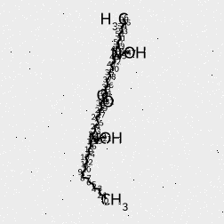 CCCCCCCC/C=C\CCCCCCCCN(CCO)CCCCCCCCCC(=O)OCCCCCCCCCCN(CCO)CCCCCCCCC